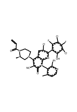 C=CC(=O)N1CCN(c2c(C#N)c(=O)n(-c3c(C)ccnc3C(C)C)c3nc(-c4c(O)c(Cl)c(F)c(Cl)c4F)c(Cl)cc23)C[C@H]1C